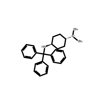 CC(C)(C)[N+]([C@H]1CC[C@H](NC(c2ccccc2)(c2ccccc2)c2ccccc2)CC1)C(C)(C)C